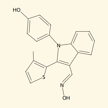 Cc1ccsc1-c1c(C=NO)c2ccccc2n1-c1ccc(O)cc1